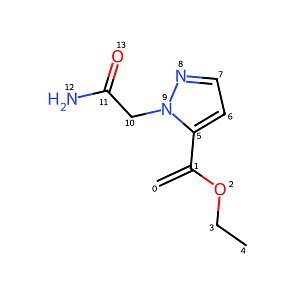 C=C(OCC)c1ccnn1CC(N)=O